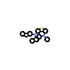 c1ccc(N(c2ccccc2)c2cccc3sc4ccc(N(c5ccc6c(c5)Cc5ccccc5-6)c5cccc6ccccc56)cc4c23)cc1